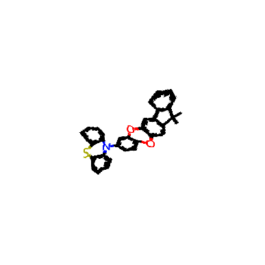 CC1(C)c2ccccc2-c2cc3c(cc21)Oc1ccc(N2c4ccccc4Sc4ccccc42)cc1O3